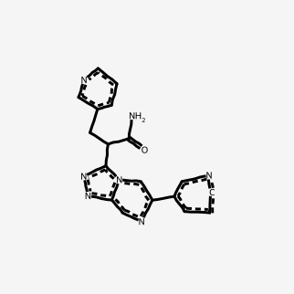 NC(=O)C(Cc1cccnc1)c1nnc2cnc(-c3cccnc3)cn12